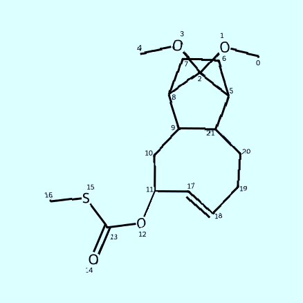 COC1(OC)C2CCC1C1CC(OC(=O)SC)/C=C/CCC12